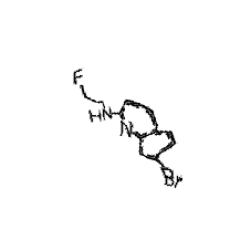 FCCNc1ccc2ccc(Br)cc2n1